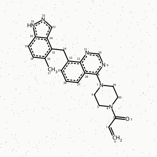 C=CC(=O)N1CCN(c2ncnc3c(Cc4c(C)ccc5[nH]ncc45)cccc23)CC1